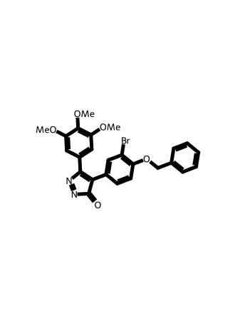 COc1cc(C2=C(c3ccc(OCc4ccccc4)c(Br)c3)C(=O)N=N2)cc(OC)c1OC